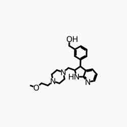 COCCN1CCN(CC2Nc3ncccc3C2c2cccc(CO)c2)CC1